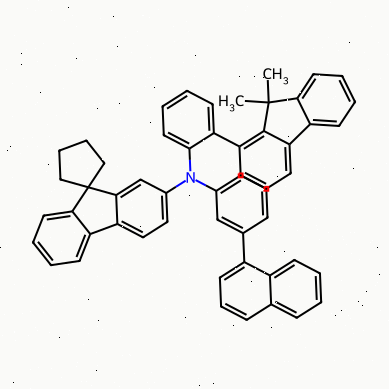 CC1(C)c2ccccc2-c2cccc(-c3ccccc3N(c3cccc(-c4cccc5ccccc45)c3)c3ccc4c(c3)C3(CCCC3)c3ccccc3-4)c21